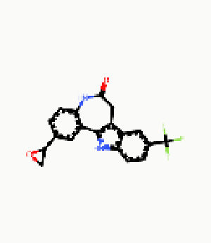 O=C1Cc2c([nH]c3ccc(C(F)(F)F)cc23)-c2cc(C3CO3)ccc2N1